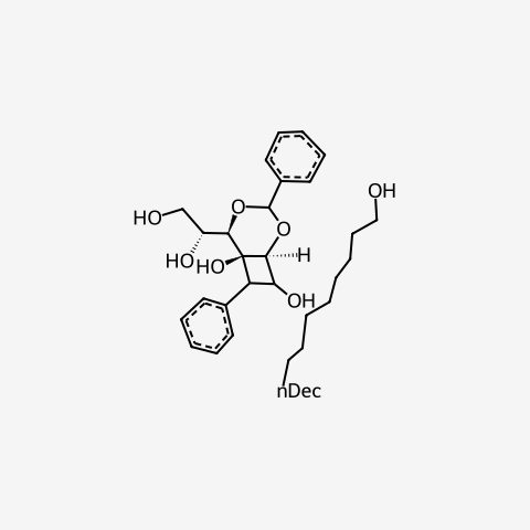 CCCCCCCCCCCCCCCCCCO.OC[C@@H](O)[C@H]1OC(c2ccccc2)O[C@H]2C(O)C(c3ccccc3)[C@]12O